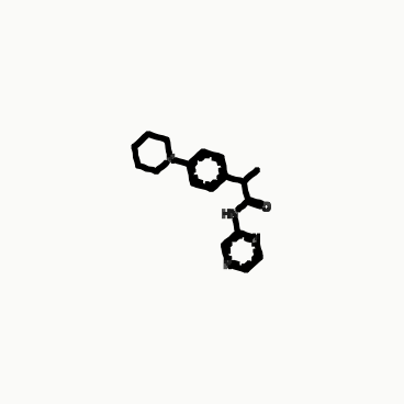 CC(C(=O)Nc1cnccn1)c1ccc(N2CCCCC2)cc1